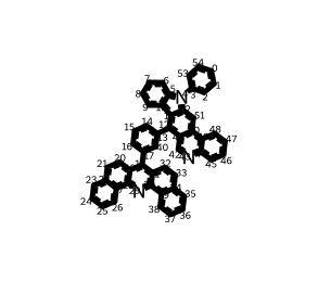 c1ccc(-n2c3ccccc3c3c(-c4cccc(-c5c6ccc7ccccc7c6nc6c5ccc5ccccc56)c4)c4cnc5ccccc5c4cc32)cc1